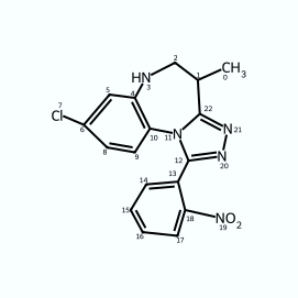 CC1CNc2cc(Cl)ccc2-n2c(-c3ccccc3[N+](=O)[O-])nnc21